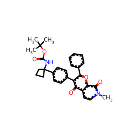 Cn1ccc2c(=O)c(-c3ccc(C4(NC(=O)OC(C)(C)C)CCC4)cc3)c(-c3ccccc3)oc2c1=O